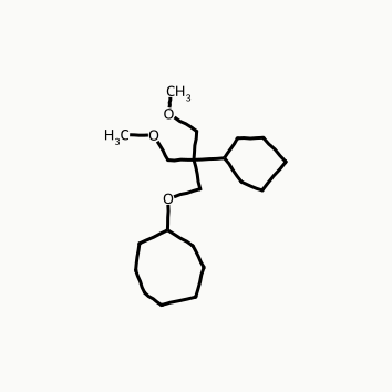 COCC(COC)(COC1CCCCCCC1)C1CCCCC1